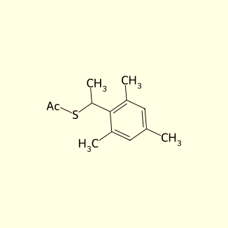 CC(=O)SC(C)c1c(C)cc(C)cc1C